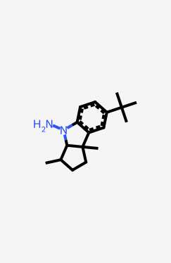 CC1CCC2(C)c3cc(C(C)(C)C)ccc3N(N)C12